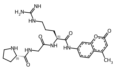 Cc1cc(=O)oc2cc(NC(=O)[C@H](CCCNC(=N)N)NC(=O)CNC(=O)[C@@H]3CCCN3)ccc12